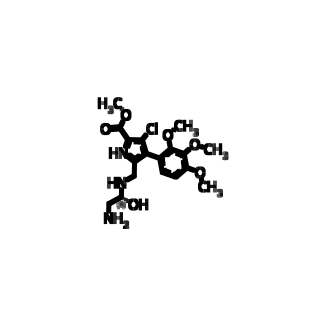 COC(=O)c1[nH]c(CN[C@H](O)CN)c(-c2ccc(OC)c(OC)c2OC)c1Cl